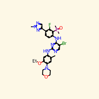 CCOc1cc(Nc2ncc(Br)c(Nc3ccc(-c4cnn(C)n4)c(F)c3P(C)(C)=O)n2)c(C)cc1N1CCOCC1